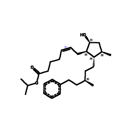 CC(C)OC(=O)CCC/C=C\C[C@@H]1[C@@H](CC[C@@H](C)CCc2ccccc2)[C@H](C)C[C@@H]1O